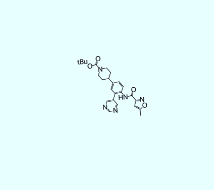 Cc1cc(C(=O)Nc2ccc(C3CCN(C(=O)OC(C)(C)C)CC3)cc2-c2cncnc2)no1